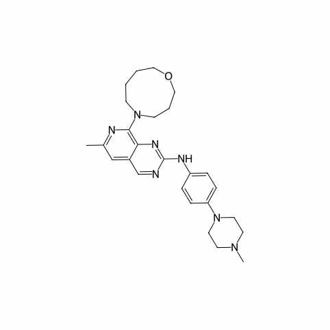 Cc1cc2cnc(Nc3ccc(N4CCN(C)CC4)cc3)nc2c(N2CCCCOCCC2)n1